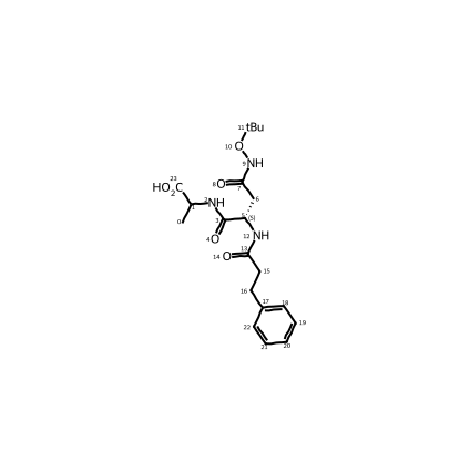 CC(NC(=O)[C@H](CC(=O)NOC(C)(C)C)NC(=O)CCc1ccccc1)C(=O)O